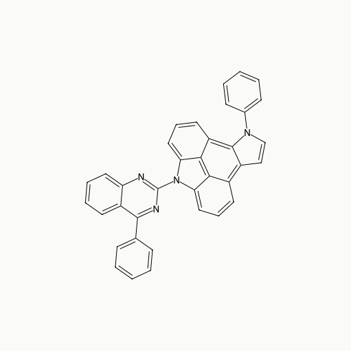 c1ccc(-c2nc(-n3c4cccc5c6ccn(-c7ccccc7)c6c6cccc3c6c54)nc3ccccc23)cc1